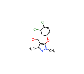 Cc1nn(C)c(OC2=CC=C(Cl)C(Cl)C2)c1C=O